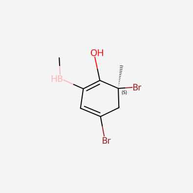 CBC1=C(O)[C@@](C)(Br)CC(Br)=C1